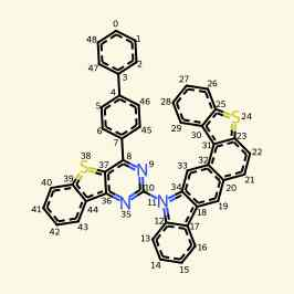 c1ccc(-c2ccc(-c3nc(-n4c5ccccc5c5cc6ccc7sc8ccccc8c7c6cc54)nc4c3sc3ccccc34)cc2)cc1